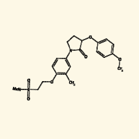 CNS(=O)(=O)CCOc1ccc(N2CCC(Oc3ccc(OC(F)(F)F)cc3)C2=O)cc1C